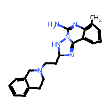 Cc1cccc2c1N=C(N)N1NC(CCN3CCc4ccccc4C3)N=C21